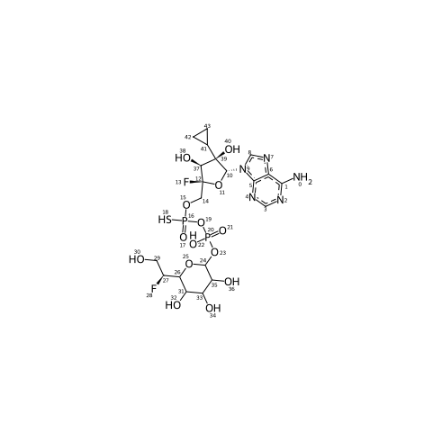 Nc1ncnc2c1ncn2[C@@H]1O[C@](F)(COP(=O)(S)OP(=O)(O)OC2OC([C@@H](F)CO)C(O)C(O)C2O)[C@@H](O)[C@]1(O)C1CC1